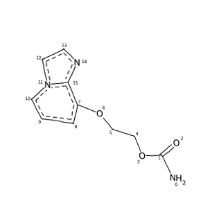 NC(=O)OCCOc1cccn2ccnc12